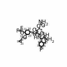 C[C@H](OC(N)=O)c1oc(-c2ccc(OC(F)F)c(OCC3CC3)c2)nc1C(=O)NC(c1ccc(F)cc1F)C(N)S